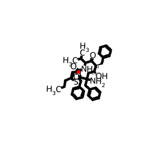 CCCc1cnc(C(N)(Cc2ccccc2)C[C@H](O)[C@H](Cc2ccccc2)C(=O)C(NC(=O)OCc2ccccc2)C(C)C)s1